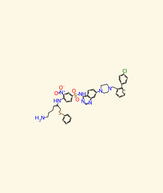 NCCCC[C@H](CSc1ccccc1)Nc1ccc(S(=O)(=O)Nc2ncnc3cc(N4CCN(Cc5ccccc5-c5ccc(Cl)cc5)CC4)ccc23)cc1[N+](=O)[O-]